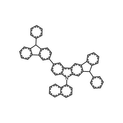 c1ccc(C2c3ccccc3-c3cc(-c4ccc5c(c4)c4cc6c(cc4n5-c4cccc5ccccc45)C(c4ccccc4)c4ccccc4-6)ccc32)cc1